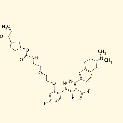 C=CC(=O)N1CC[C@H](OC(=O)NCCOCCOc2cc(F)ccc2-c2nnc(-c3ccc4c(c3)CCC(N(C)C)C4)c3c(F)csc23)C1